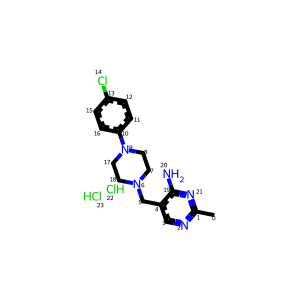 Cc1ncc(CN2CCN(c3ccc(Cl)cc3)CC2)c(N)n1.Cl.Cl